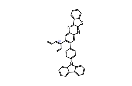 C=C/C=C(\C=C)c1cc2nc3c(nc2cc1-c1ccc(-n2c4ccccc4c4ccccc42)cc1)sc1ccccc13